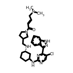 CN(C)C/C=C/C(=O)N1CCC(CN[C@H]2CCCC(Nc3ncc(Cl)c(-c4n[nH]c5ccccc45)n3)C2)C1